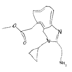 COC(=O)c1cccc2nc(CN)n(C3CC3)c12